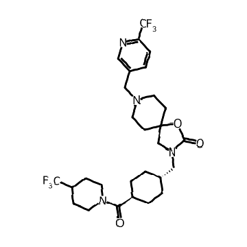 O=C1OC2(CCN(Cc3ccc(C(F)(F)F)nc3)CC2)CN1C[C@H]1CC[C@H](C(=O)N2CCC(C(F)(F)F)CC2)CC1